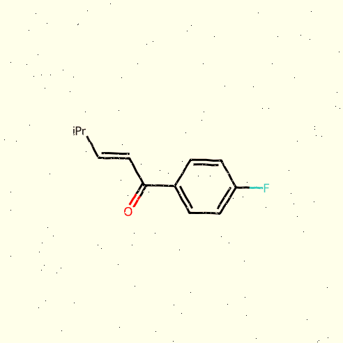 CC(C)C=CC(=O)c1ccc(F)cc1